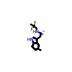 Cc1ccc2[nH]cc(C[C@@H](C)NCC(C)(F)F)c2c1